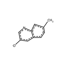 Cc1ccc2cc([O])cnc2c1